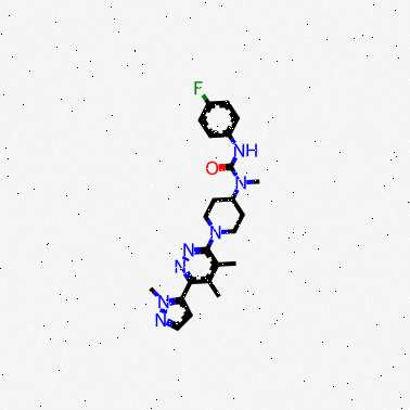 Cc1c(-c2ccnn2C)nnc(N2CCC(N(C)C(=O)Nc3ccc(F)cc3)CC2)c1C